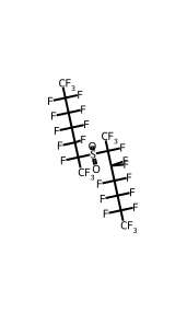 O=S(=O)(C(F)(C(F)(F)F)C(F)(F)C(F)(F)C(F)(F)C(F)(F)C(F)(F)F)C(F)(C(F)(F)F)C(F)(F)C(F)(F)C(F)(F)C(F)(F)C(F)(F)F